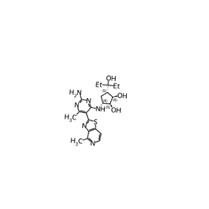 CCC(O)(CC)[C@H]1C[C@@H](Nc2nc(N)nc(C)c2-c2nc3c(C)nccc3s2)[C@H](O)[C@@H]1O